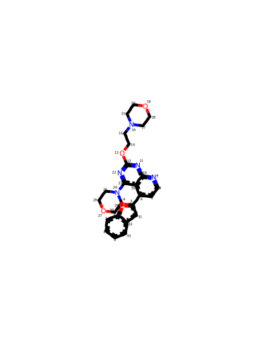 c1ccc2oc(-c3ccnc4nc(OCCN5CCOCC5)nc(N5CCOCC5)c34)cc2c1